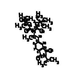 CC(C)N1C(=O)c2ccc(CC(C)N(C(=O)OC(C)(C)C)C(=O)OC(C)(C)C)cc2C1=O